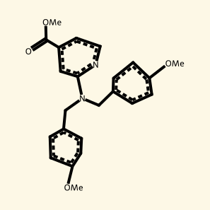 COC(=O)c1ccnc(N(Cc2ccc(OC)cc2)Cc2ccc(OC)cc2)c1